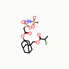 CC(F)C(=O)OCC12CC3CC(C1)CC(OC(=O)CS(=O)(=O)NS(C)(=O)=O)(C3)C2